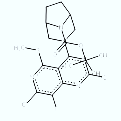 CSc1nc(Cl)c(F)c2nc(Cl)nc(N3CC4CCC(C3)N4C(=O)OC(C)(C)C)c12